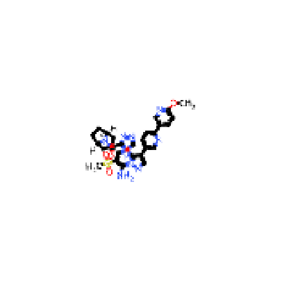 COc1ccc(-c2ccc(-c3cnn4c(N)c(S(C)(=O)=O)c([C@@H]5C[C@H]6CC[C@@H](C5)N6C(=O)c5nnc[nH]5)nc34)cn2)cn1